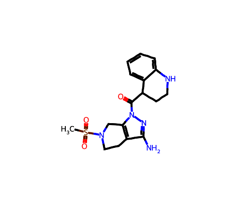 CS(=O)(=O)N1CCc2c(N)nn(C(=O)C3CCNc4ccccc43)c2C1